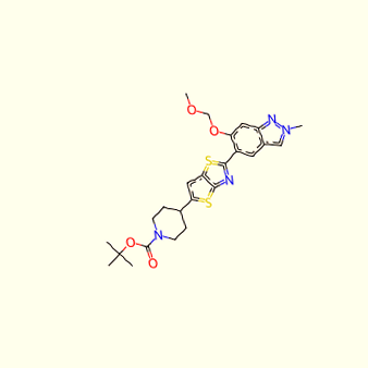 COCOc1cc2nn(C)cc2cc1-c1nc2sc(C3CCN(C(=O)OC(C)(C)C)CC3)cc2s1